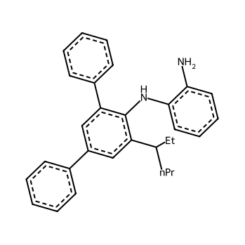 CCCC(CC)c1cc(-c2ccccc2)cc(-c2ccccc2)c1Nc1ccccc1N